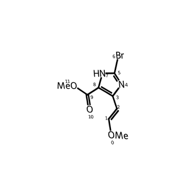 COC=Cc1nc(Br)[nH]c1C(=O)OC